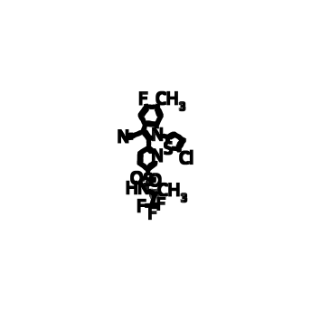 Cc1cc2c(cc1F)c(C#N)c(-c1ccc(S(=O)(=O)N[C@@H](C)C(F)(F)F)cn1)n2-c1ccc(Cl)s1